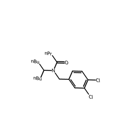 CCCCC(CCCC)N(Cc1ccc(Cl)c(Cl)c1)C(=O)CCC